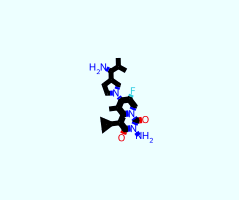 Cc1c(N2CCC(C(N)C(C)C)C2)c(F)cn2c(=O)n(N)c(=O)c(C3CC3)c12